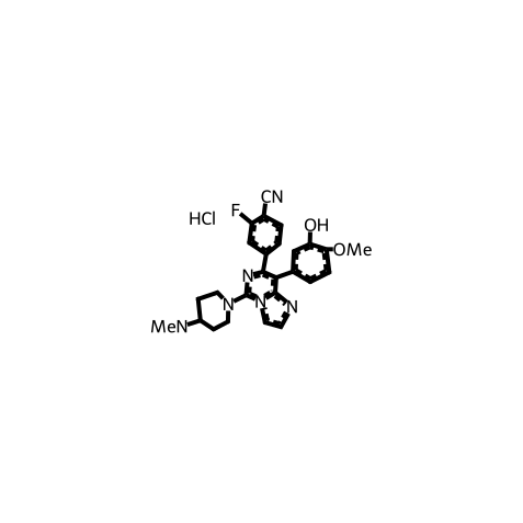 CNC1CCN(c2nc(-c3ccc(C#N)c(F)c3)c(-c3ccc(OC)c(O)c3)c3nccn23)CC1.Cl